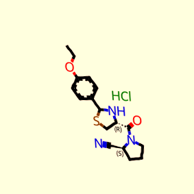 CCOc1ccc(C2N[C@H](C(=O)N3CCC[C@H]3C#N)CS2)cc1.Cl